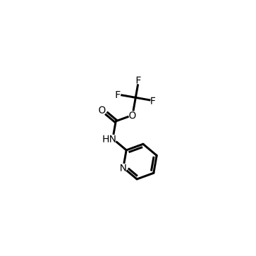 O=C(Nc1ccccn1)OC(F)(F)F